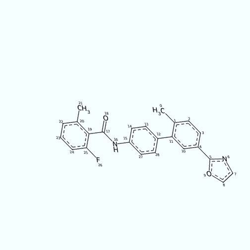 Cc1ccc(-c2ncco2)cc1-c1ccc(NC(=O)c2c(C)cccc2F)cc1